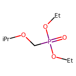 [CH2]C(C)OCP(=O)(OCC)OCC